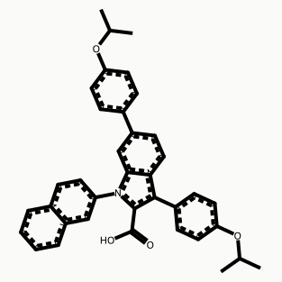 CC(C)Oc1ccc(-c2ccc3c(-c4ccc(OC(C)C)cc4)c(C(=O)O)n(-c4ccc5ccccc5c4)c3c2)cc1